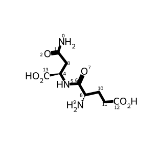 NC(=O)C[C@@H](NC(=O)[C@@H](N)CCC(=O)O)C(=O)O